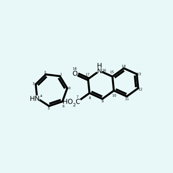 C1=CC=CNC=C1.O=C(O)c1cc2ccccc2[nH]c1=O